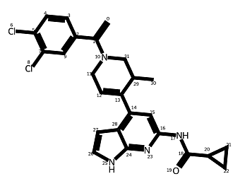 C=C(c1ccc(Cl)c(Cl)c1)N1CC=C(c2cc(NC(=O)C3CC3)nc3[nH]ccc23)C(C)C1